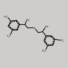 Cc1cc(C(O)CSCC(O)c2cc(C)cc(C(F)(F)F)c2)cc(C(F)(F)F)c1